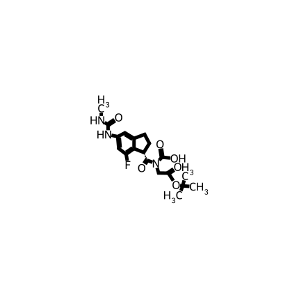 CNC(=O)Nc1cc(F)c2c(c1)CC[C@@H]2C(=O)N(CC(=O)OC(C)(C)C)C(=O)O